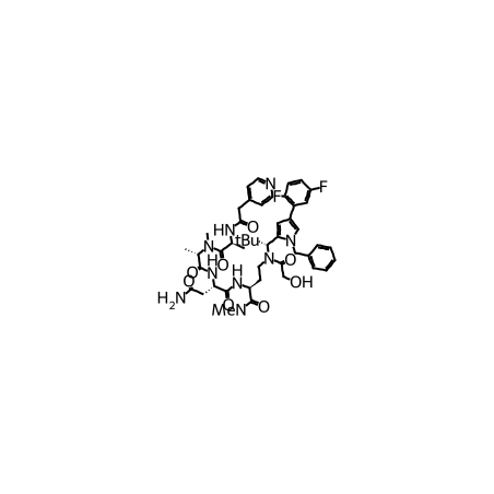 CNC(=O)[C@H](CCN(C(=O)CO)[C@@H](c1cc(-c2cc(F)ccc2F)cn1Cc1ccccc1)C(C)(C)C)NC(=O)[C@H](CC(N)=O)NC(=O)[C@H](C)N(C)C(=O)[C@H](C)NC(=O)Cc1ccncc1